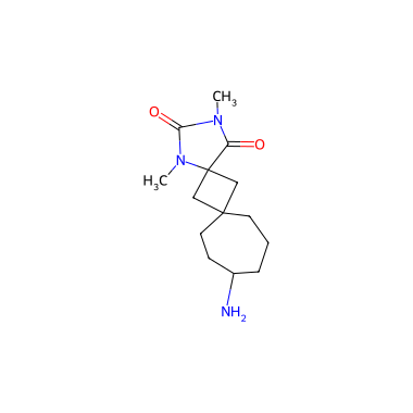 CN1C(=O)N(C)C2(CC3(CCCC(N)CC3)C2)C1=O